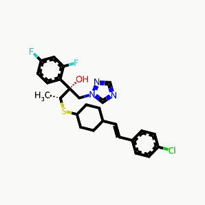 C[C@@H](SC1CCC(C=Cc2ccc(Cl)cc2)CC1)[C@](O)(Cn1cncn1)c1ccc(F)cc1F